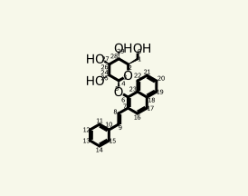 OC[C@H]1O[C@@H](Oc2c(/C=C/c3ccccc3)ccc3ccccc23)[C@H](O)[C@@H](O)[C@@H]1O